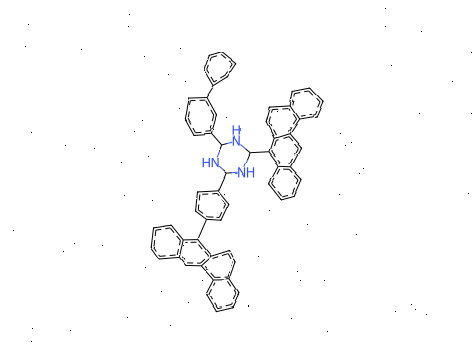 c1ccc(-c2cccc(C3NC(c4ccc(-c5c6ccccc6cc6c5ccc5ccccc56)cc4)NC(c4c5ccccc5cc5c4ccc4ccccc45)N3)c2)cc1